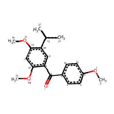 COc1ccc(C(=O)c2cc(C(C)C)c(OC)cc2OC)cc1